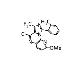 COc1ccc2nc(Cl)c3c(C(F)(F)F)nc(-c4ccccc4C)n3c2n1